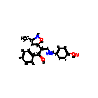 Cc1cc(/C(=C/Nc2ccc(O)cc2)C(=O)c2ccccc2)on1